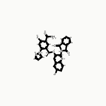 C[C@H](Oc1cc2cc(F)ccc2nc1N1C(=O)c2ccccc2C1=O)c1cc(C(N)=O)c(F)cc1-n1cccn1